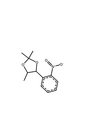 [CH2]C1OC(C)(C)OC1c1ccccc1[N+](=O)[O-]